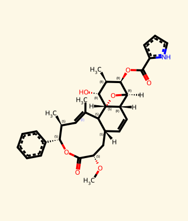 CO[C@H]1C[C@H]2C=C[C@H]3[C@H]4O[C@]2(/C(C)=C/[C@H](C)[C@@H](c2ccccc2)OC1=O)[C@@H]3[C@H](O)[C@@H](C)[C@H]4OC(=O)c1ccc[nH]1